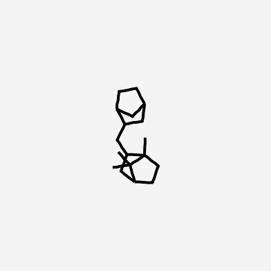 CC1(C)C2CCC1(C)C(CC1CC3CCC1C3)C2